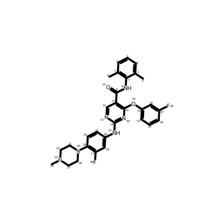 Cc1cccc(C)c1NC(=O)c1cnc(Nc2ccc(N3CCN(C)CC3)c(F)c2)nc1Oc1cccc(F)c1